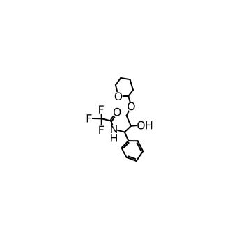 O=C(NC(c1ccccc1)C(O)COC1CCCCO1)C(F)(F)F